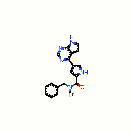 CCN(Cc1ccccc1)C(=O)c1cc(-c2ncnc3[nH]ccc23)c[nH]1